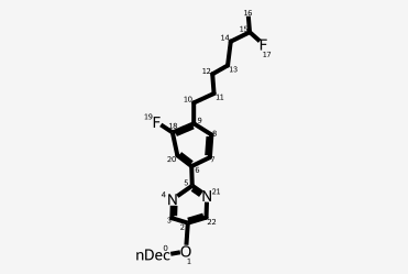 CCCCCCCCCCOc1cnc(-c2ccc(CCCCCC(C)F)c(F)c2)nc1